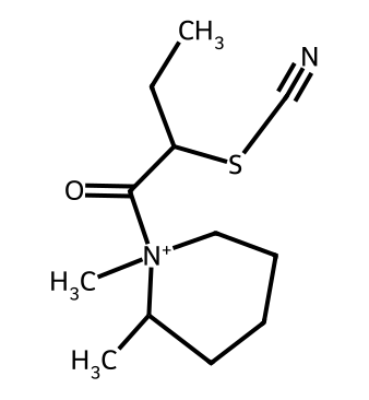 CCC(SC#N)C(=O)[N+]1(C)CCCCC1C